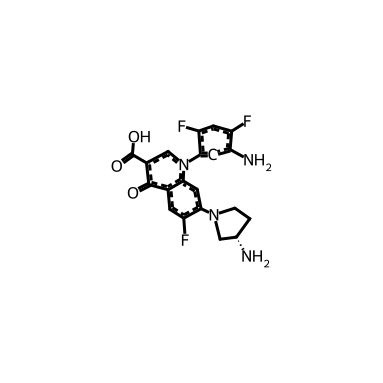 Nc1cc(-n2cc(C(=O)O)c(=O)c3cc(F)c(N4CC[C@H](N)C4)cc32)c(F)cc1F